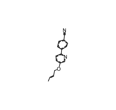 CC=CCOc1ccc(-c2ccc(C#N)cc2)nc1